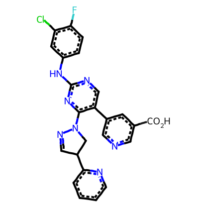 O=C(O)c1cncc(-c2cnc(Nc3ccc(F)c(Cl)c3)nc2N2CC(c3ccccn3)C=N2)c1